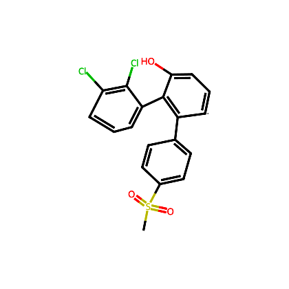 CS(=O)(=O)c1ccc(-c2[c]ccc(O)c2-c2cccc(Cl)c2Cl)cc1